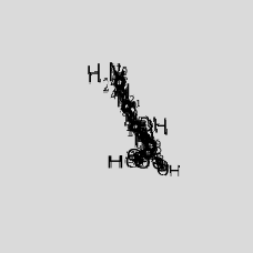 Cc1cc(N=Nc2ccc(N=Nc3ccc(-n4nc5ccc6c(SOOO)cc(S(=O)(=O)O)cc6c5n4)c(O)c3)c(C)c2)c(C)cc1N